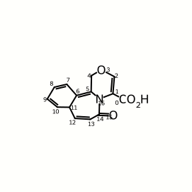 O=C(O)C1=COCC2=C3C=CC=CC3C=CC(=O)N12